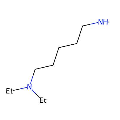 CCN(CC)CCCCC[NH]